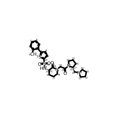 Cc1ccccc1-c1ccc(S(=O)(=O)N[C@H]2CCCN(CC(=O)N3CCC[C@H]3CN3CCCC3)C2=O)s1